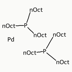 CCCCCCCCP(CCCCCCCC)CCCCCCCC.CCCCCCCCP(CCCCCCCC)CCCCCCCC.[Pd]